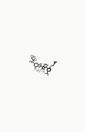 Cc1[nH]c2c(-c3cc(C(F)F)ccc3OCC3CC3)ncnc2c1C(=O)N[C@H]1CC[C@@H](NC(=O)CO)C[C@H]1F